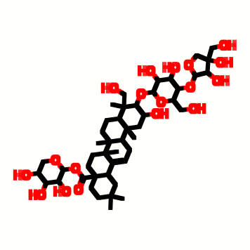 CC1(C)CCC2(C(=O)OC3OCC(O)C(O)C3O)CCC3(C)C(=CCC4C5(C)CC(O)C(OC6OC(CO)C(OC7OCC(O)(CO)C7O)C(O)C6O)C(C)(CO)C5CCC43C)C2C1